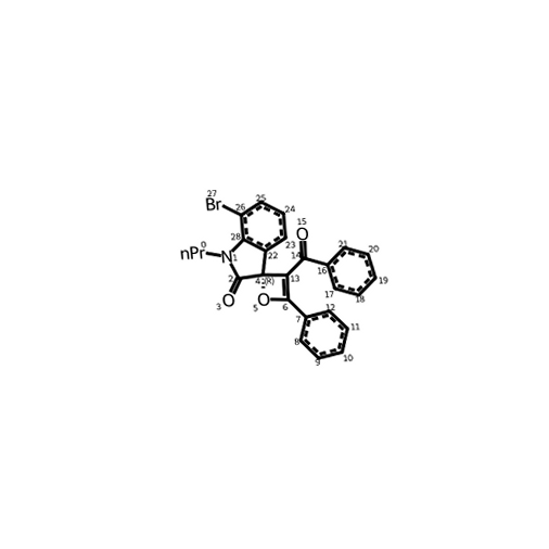 CCCN1C(=O)[C@@]2(OC(c3ccccc3)=C2C(=O)c2ccccc2)c2cccc(Br)c21